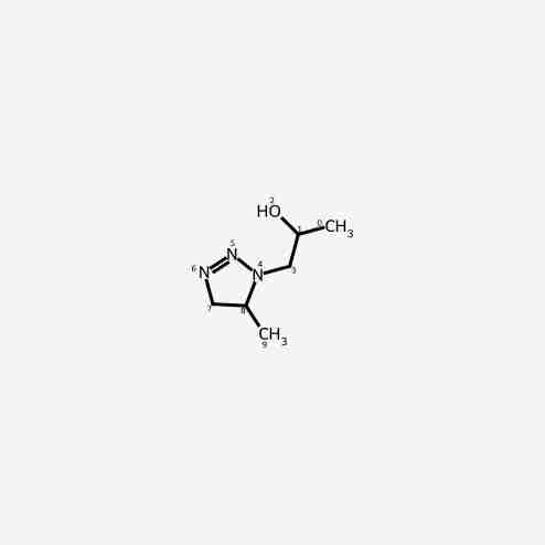 CC(O)CN1N=NCC1C